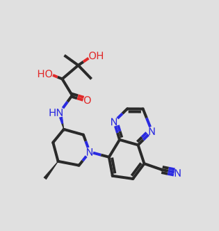 C[C@H]1C[C@@H](NC(=O)C(O)C(C)(C)O)CN(c2ccc(C#N)c3nccnc23)C1